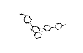 CC1=CCC(c2ccc(C3=CC(c4ccc(C#N)cc4)=NC4=CC=CCC43C)cc2)C=C1